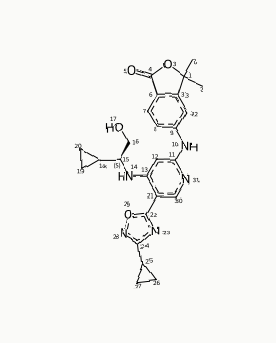 CC1(C)OC(=O)c2ccc(Nc3cc(N[C@H](CO)C4CC4)c(-c4nc(C5CC5)no4)cn3)cc21